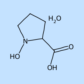 O.O=C(O)C1CCCN1O